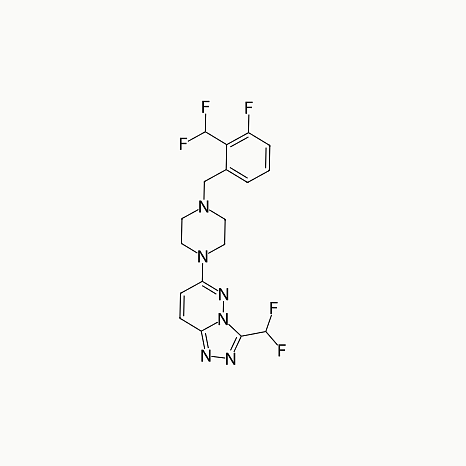 Fc1cccc(CN2CCN(c3ccc4nnc(C(F)F)n4n3)CC2)c1C(F)F